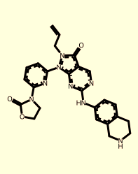 C=CCn1c(=O)c2cnc(Nc3ccc4c(c3)CNCC4)nc2n1-c1cccc(N2CCOC2=O)n1